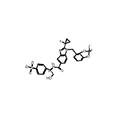 CCS(=O)(=O)c1ccc([C@H](CO)NC(=O)c2ccc3c(c2)nc(C2(F)CC2)n3Cc2cccc3c2OC(F)(F)O3)cc1